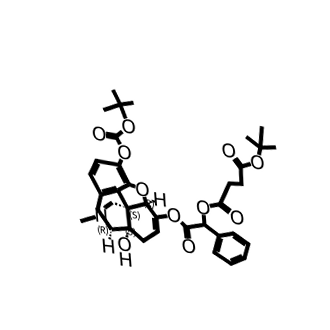 CN1CC[C@]23c4c5ccc(OC(=O)OC(C)(C)C)c4O[C@H]2C(OC(=O)C(OC(=O)CCC(=O)OC(C)(C)C)c2ccccc2)=CC[C@@]3(O)[C@H]1C5